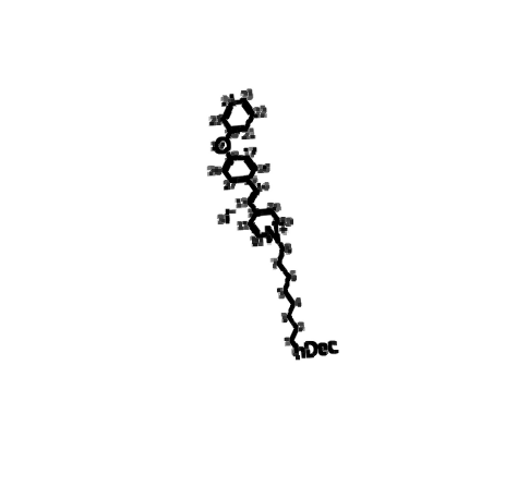 CCCCCCCCCCCCCCCCCC[n+]1ccc(C=Cc2ccc(Oc3ccccc3)cc2)cc1.[I-]